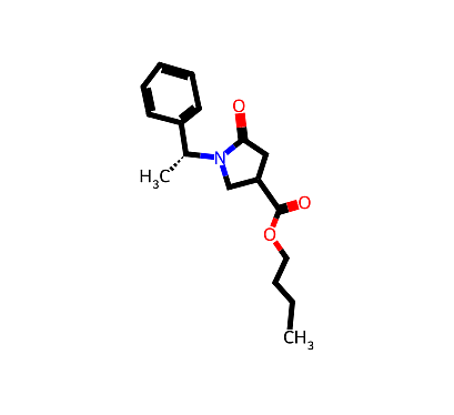 CCCCOC(=O)C1CC(=O)N([C@H](C)c2ccccc2)C1